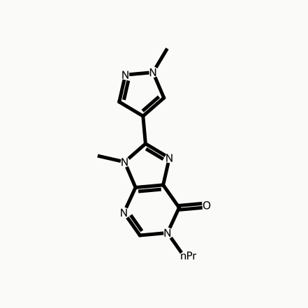 CCCn1cnc2c(nc(-c3cnn(C)c3)n2C)c1=O